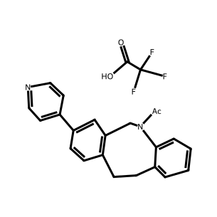 CC(=O)N1Cc2cc(-c3ccncc3)ccc2CCc2ccccc21.O=C(O)C(F)(F)F